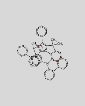 CC1(C)c2ccccc2-c2ccc(N(c3ccccc3-c3ccccc3)c3cccc4c3-c3c(-c5ccccc5)sc(-c5ccccc5)c3C4(C)C)cc21